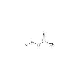 COOS(=O)O